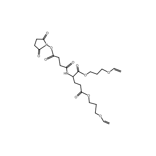 C=COCCCOC(=O)CCC(NC(=O)CCC(=O)ON1C(=O)CCC1=O)C(=O)OCCCOC=C